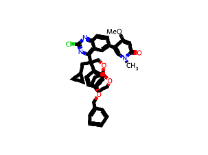 COc1cc(=O)n(C)cc1-c1ccc2nc(Cl)nc(C(COC3CCCCO3)(CC3CC3)c3ccc(OCc4ccccc4)cc3)c2c1